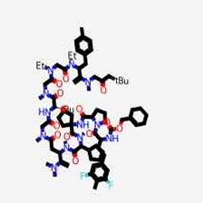 C=C(C(CC(=O)N(C)CC(=O)NC(C(=O)N(C)CC(=O)N(CC)CC(=O)N(CC)C(Cc1ccc(C)cc1)C(=C)N(C)CC(=O)CC(C)(C)C)[C@@H](C)CC)N(C)C(=O)C(C1CCCC1)N(C)C(=O)C1(NC(=O)C2CCCN2C(=O)C(CCc2cc(F)c(C)c(F)c2)NC(=O)OCC2=CCCCC2)CCCC1)N(C)C